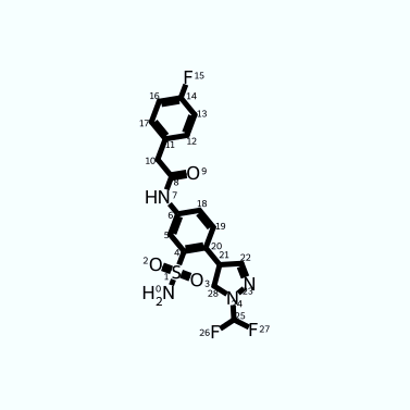 NS(=O)(=O)c1cc(NC(=O)Cc2ccc(F)cc2)ccc1C1C=NN(C(F)F)C1